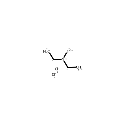 CC[N]([Zr+2])CC.[Cl-].[Cl-]